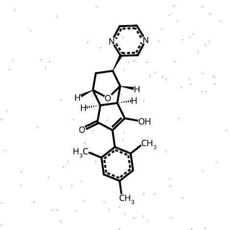 Cc1cc(C)c(C2=C(O)[C@@H]3[C@@H]4O[C@@H](C[C@H]4c4cnccn4)[C@@H]3C2=O)c(C)c1